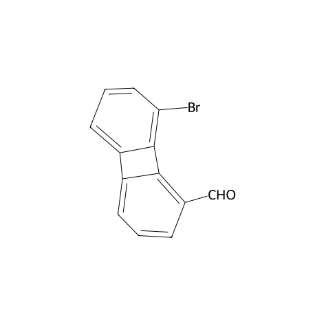 O=Cc1cccc2c1-c1c(Br)cccc1-2